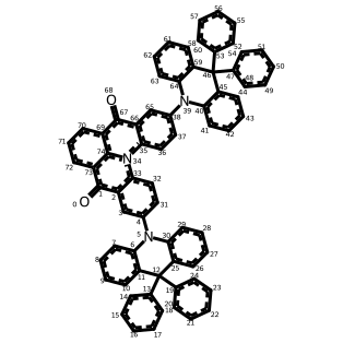 O=c1c2cc(N3c4ccccc4C(c4ccccc4)(c4ccccc4)c4ccccc43)ccc2n2c3ccc(N4c5ccccc5C(c5ccccc5)(c5ccccc5)c5ccccc54)cc3c(=O)c3cccc1c32